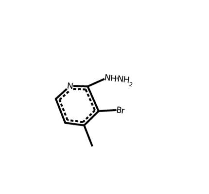 Cc1ccnc(NN)c1Br